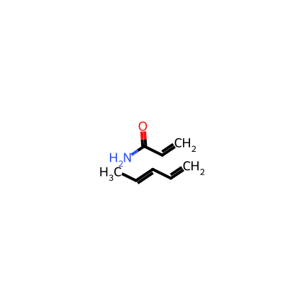 C=CC(N)=O.C=CC=CC